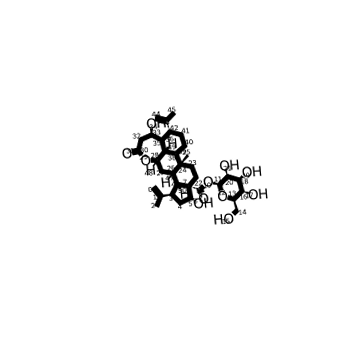 C=C(C)[C@@H]1C[C@H](O)[C@]2(C(=O)O[C@@H]3O[C@H](CO)[C@@H](O)[C@H](O)[C@H]3O)CC[C@]3(C)[C@H](C[C@H]4OC(=O)C[C@@H](O)[C@]5(C)[C@@H]4[C@@]3(C)CC[C@H]5C(=C)C)[C@@H]12